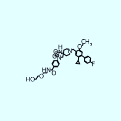 CCOc1cc(-c2ccc(F)cc2)c(C2CC2)cc1CN1CCC2(CC1)CN(c1ccc(C(=O)NCCOCCO)cc1)S(=O)(=O)N2